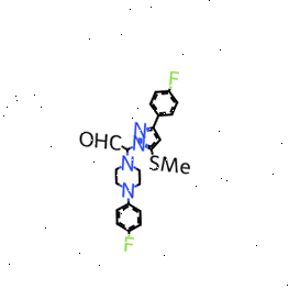 CSc1cc(-c2ccc(F)cc2)nn1C(C=O)N1CCN(c2ccc(F)cc2)CC1